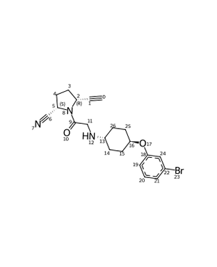 C#C[C@H]1CC[C@@H](C#N)N1C(=O)CN[C@H]1CC[C@H](Oc2cccc(Br)c2)CC1